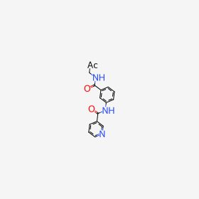 CC(=O)CNC(=O)c1cccc(NC(=O)c2cccnc2)c1